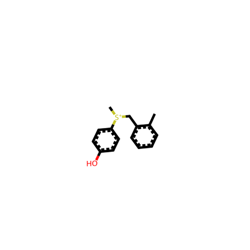 Cc1ccccc1C[S+](C)c1ccc(O)cc1